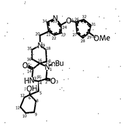 CCCCN1C(=O)[C@@H](CC2(O)CCCCC2)NC(=O)C12CCN(Cc1ccc(Oc3ccc(OC)cc3)nc1)CC2